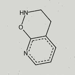 c1cnc2c(c1)CCNO2